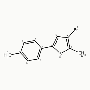 Cc1ccc(-c2cc(Br)c(C)s2)cc1